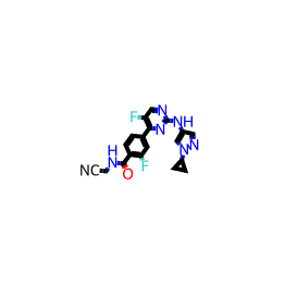 N#CCNC(=O)c1ccc(-c2nc(Nc3cnn(C4CC4)c3)ncc2F)cc1F